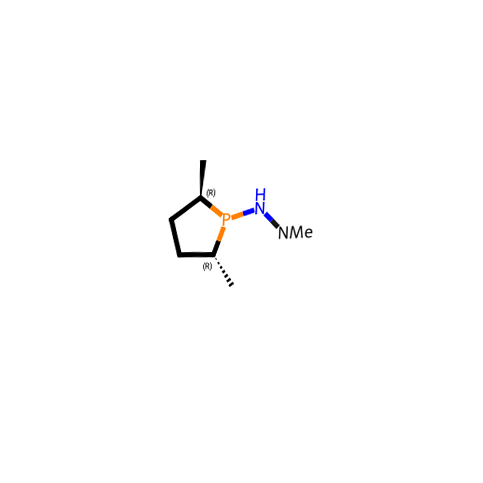 CNNP1[C@H](C)CC[C@H]1C